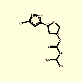 CC(C)NC(=O)O[C@@H]1CO[C@H](c2cc(N)n[nH]2)C1